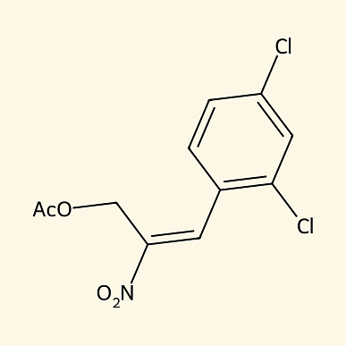 CC(=O)OCC(=Cc1ccc(Cl)cc1Cl)[N+](=O)[O-]